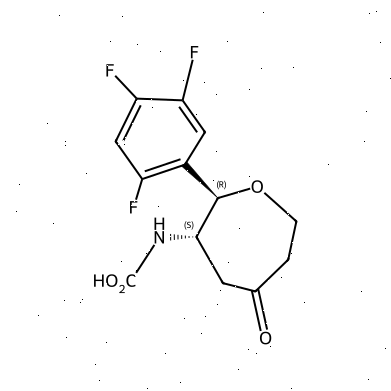 O=C1CCO[C@H](c2cc(F)c(F)cc2F)[C@@H](NC(=O)O)C1